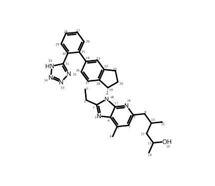 CCc1nc2c(C)cc(CC(C)CC(C)O)nc2n1[C@H]1CCc2cc(-c3ccccc3-c3nnn[nH]3)ccc21